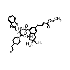 CCOC(=O)C=CCc1cc2c(c(S(=O)(=O)N[C@@H](Cc3nc4ccccc4s3)C(=O)N3CCC(CCF)CC3)c1)NCC(C)(C)C2